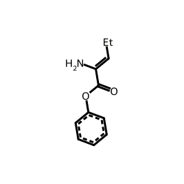 CCC=C(N)C(=O)Oc1ccccc1